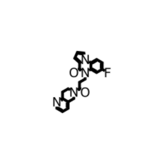 O=C(CCn1c(=O)c2cccn2c2ccc(F)cc21)N1CCc2ncccc2C1